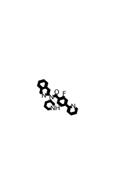 O=C(c1ccc(-c2ccccn2)cc1F)N(c1cc2ccccc2cn1)[C@@H]1CCCNC1